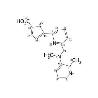 Cc1ncccc1N(C)Cc1cccc(-c2ccc(C(=O)O)s2)n1